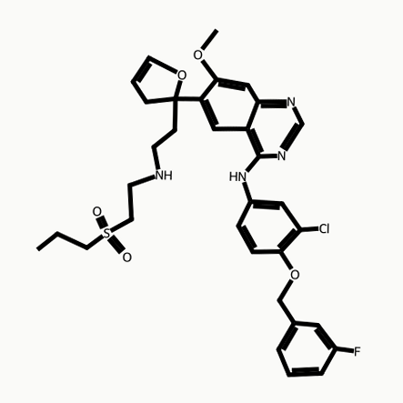 CCCS(=O)(=O)CCNCCC1(c2cc3c(Nc4ccc(OCc5cccc(F)c5)c(Cl)c4)ncnc3cc2OC)CC=CO1